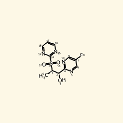 C[C@H]([C@H](O)c1ncc(F)cn1)S(=O)(=O)c1ncccn1